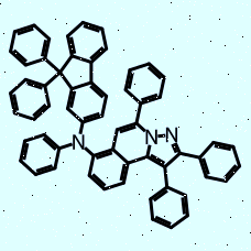 c1ccc(-c2nn3c(-c4ccccc4)cc4c(N(c5ccccc5)c5ccc6c(c5)C(c5ccccc5)(c5ccccc5)c5ccccc5-6)cccc4c3c2-c2ccccc2)cc1